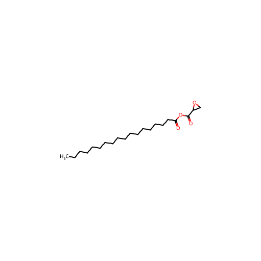 CCCCCCCCCCCCCCCCCC(=O)OC(=O)C1CO1